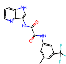 Cc1cc(NC(=O)C(=O)Nc2c[nH]c3cccnc23)cc(C(F)(F)F)c1